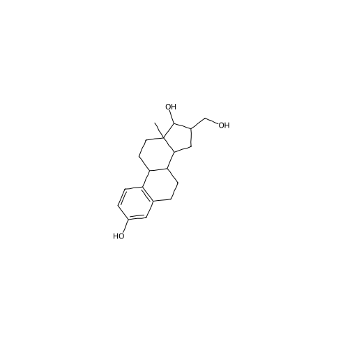 CC12CCC3c4ccc(O)cc4CCC3C1CC(CO)C2O